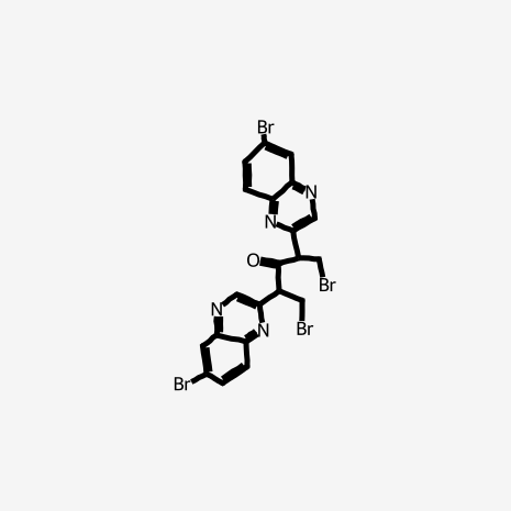 O=C(C(CBr)c1cnc2cc(Br)ccc2n1)C(CBr)c1cnc2cc(Br)ccc2n1